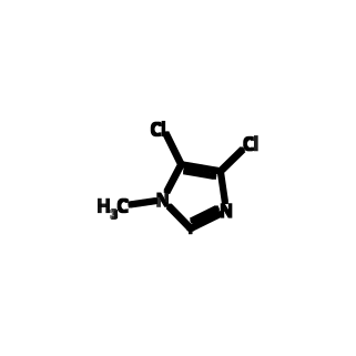 Cn1[c]nc(Cl)c1Cl